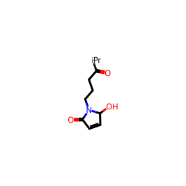 CC(C)C(=O)CCCN1C(=O)C=CC1O